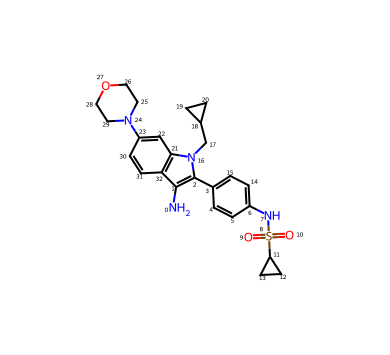 Nc1c(-c2ccc(NS(=O)(=O)C3CC3)cc2)n(CC2CC2)c2cc(N3CCOCC3)ccc12